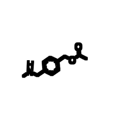 CNCc1ccc(COC(C)=O)cc1